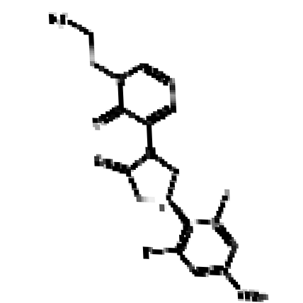 COc1cc(F)c([C@H]2CC(=O)N(c3cccn(CCC(F)(F)F)c3=O)C2)c(I)c1